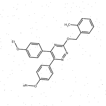 CCCOc1ccc(-c2nnc(OCc3ccccc3C)nc2-c2ccc(OCC)cc2)cc1